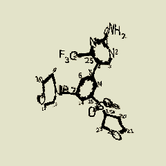 Nc1ncc(-c2cc(N3CCOCC3)cc(S(=O)(=O)C3CCOC3)c2)c(C(F)(F)F)n1